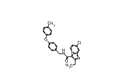 CCc1nc2cc(Cl)ccn2c1C(=O)NCc1ccc(Oc2ccc(C)cc2)cc1